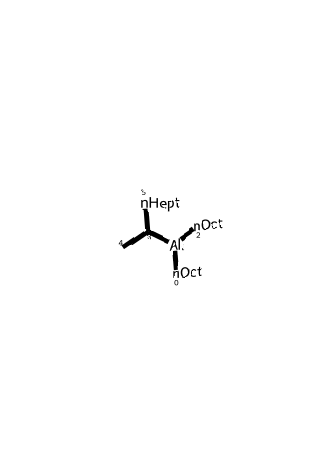 CCCCCCC[CH2][Al]([CH2]CCCCCCC)[CH](C)CCCCCCC